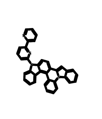 c1ccc(-c2cccc(-n3c4ccccc4c4c5c6ccccc6n6c7ccccc7cc6c5ccc43)n2)nc1